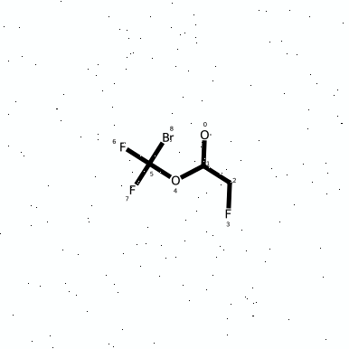 [O]C(CF)OC(F)(F)Br